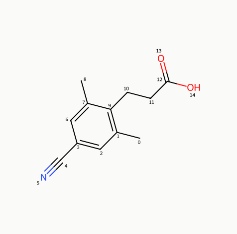 Cc1cc(C#N)cc(C)c1CCC(=O)O